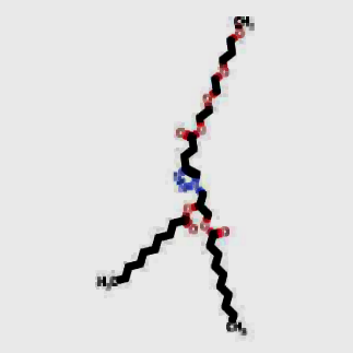 CCCCCCCCCC(=O)OCC(Cn1cc(CCC(=O)OCCOCCOCCCOC)nn1)OC(=O)CCCCCCCCC